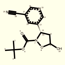 CC(C)(C)OC(=O)N1OC(O)C[C@H]1c1cncc(C#N)c1